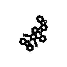 N#Cc1ccc(-c2ccccc2-n2c3ccccc3c3c4c(ccc32)oc2ccccc24)c(C#N)c1-n1c2ccccc2c2ccccc21